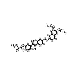 COc1cc2c(cc1OC)CN(CCc1ccc(NC(=O)c3[c]cc4c(c3)OC(C(N)=O)O4)cc1)CC2